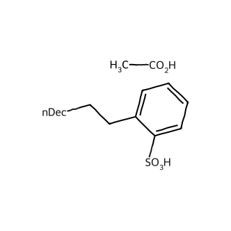 CC(=O)O.CCCCCCCCCCCCc1ccccc1S(=O)(=O)O